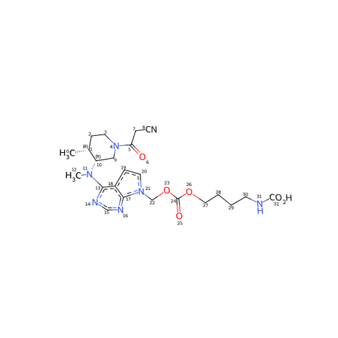 C[C@@H]1CCN(C(=O)CC#N)C[C@@H]1N(C)c1ncnc2c1ccn2COC(=O)OCCCCNC(=O)O